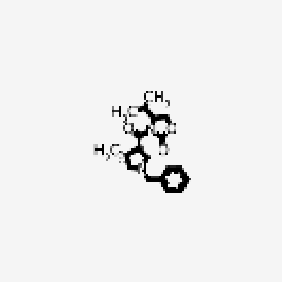 CC(C)C1COC(=O)N1C(=O)[C@H]1CN(Cc2ccccc2)C[C@@H]1C